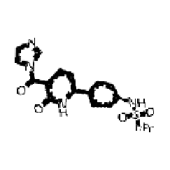 CCCS(=O)(=O)Nc1ccc(-c2ccc(C(=O)n3ccnc3)c(=O)[nH]2)cc1